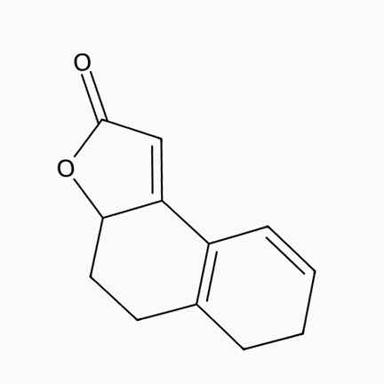 O=C1C=C2C3=C(CCC=C3)CCC2O1